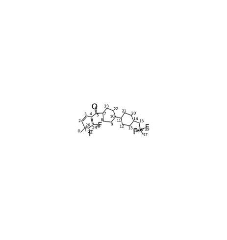 Cc1ccc(C(=O)C2CCC(C3CCC(CC(C)(F)F)CC3)CC2)c(F)c1F